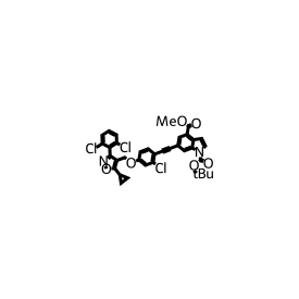 COC(=O)c1cc(C#Cc2ccc(OCc3c(-c4c(Cl)cccc4Cl)noc3C3CC3)cc2Cl)cc2c1ccn2C(=O)OC(C)(C)C